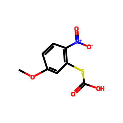 COc1ccc([N+](=O)[O-])c(SC(=O)O)c1